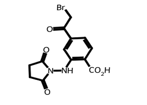 O=C(CBr)c1ccc(C(=O)O)c(NN2C(=O)CCC2=O)c1